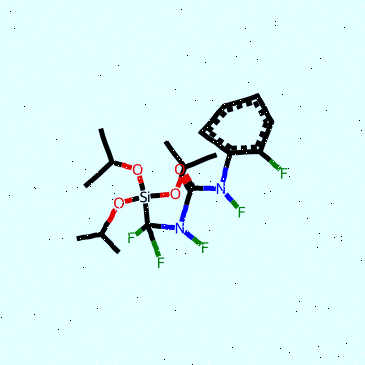 CC(C)O[Si](OC(C)C)(OC(C)C)C(F)(F)N(F)C(=O)N(F)c1ccccc1F